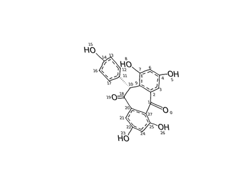 O=C1c2cc(O)cc(O)c2[C@@H](c2ccc(O)cc2)C(=O)c2cc(O)cc(O)c21